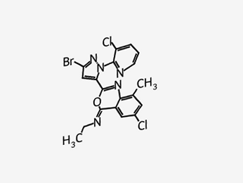 CCN=c1oc(-c2cc(Br)nn2-c2ncccc2Cl)nc2c(C)cc(Cl)cc12